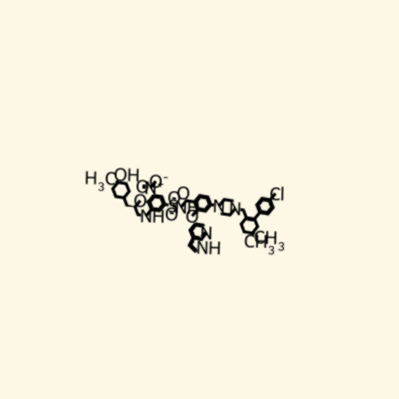 CC1(C)CCC(CN2CCN(c3ccc(C(=O)NS(=O)(=O)c4cc5c(c([N+](=O)[O-])c4)O[C@H](CC4CCC(C)(O)CC4)CN5)c(Oc4cnc5[nH]ccc5c4)c3)CC2)=C(c2ccc(Cl)cc2)C1